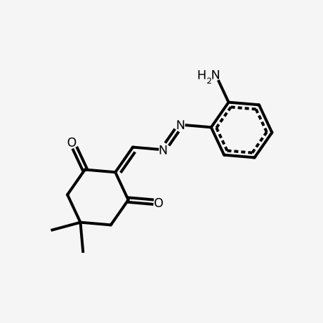 CC1(C)CC(=O)C(=CN=Nc2ccccc2N)C(=O)C1